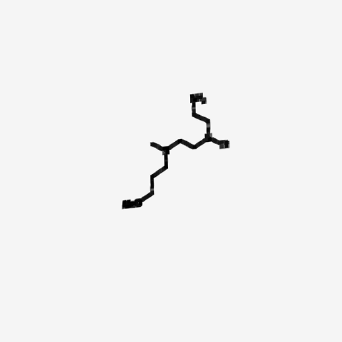 CCN(CCN)CCN(C)CCCOC